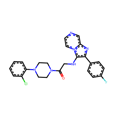 O=C(CNc1c(-c2ccc(F)cc2)nc2cnccn12)N1CCN(c2ccccc2Cl)CC1